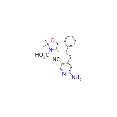 CC1(C)OC[C@H](C[C@@H](Sc2cc(N)ncc2C#N)c2ccccc2)N1C(=O)O